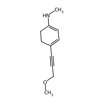 CNC1=CC=C(C#CCOC)CC1